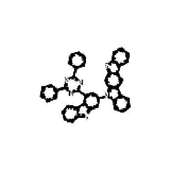 c1ccc(-c2nc(-c3ccccc3)nc(-c3cc(-n4c5ccccc5c5cc6c(cc54)sc4ccccc46)cc4sc5ccccc5c34)n2)cc1